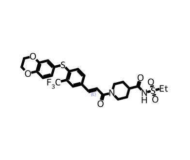 CCS(=O)(=O)NC(=O)C1CCN(C(=O)/C=C/c2ccc(Sc3ccc4c(c3)OCCO4)c(C(F)(F)F)c2)CC1